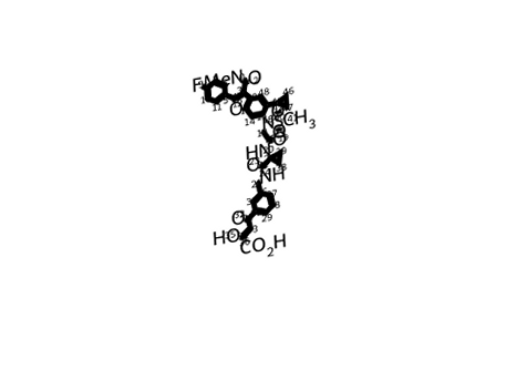 CNC(=O)c1c(-c2ccc(F)cc2)oc2cc(N(CC(=O)NC3(C(=O)NCc4cccc(C(=O)C=C(O)C(=O)O)c4)CC3)S(C)(=O)=O)c(C3CC3)cc12